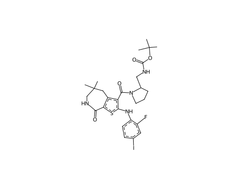 CC1(C)CNC(=O)c2sc(Nc3ccc(I)cc3F)c(C(=O)N3CCCC3CNC(=O)OC(C)(C)C)c2C1